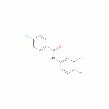 O=C(Nc1ccc(Cl)c(C(F)(F)F)c1)c1ccc(Cl)cc1